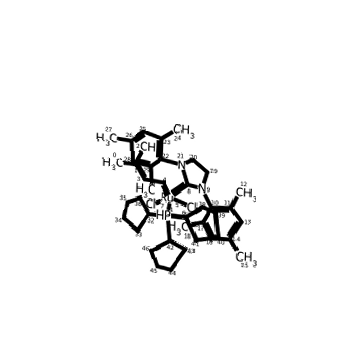 CC(C)=C[CH]=[Ru]([Cl])([Cl])(=[C]1N(c2c(C)cc(C)cc2C)CCN1c1c(C)cc(C)cc1C)[PH](C1CCCC1)(C1CCCC1)C1CCCC1